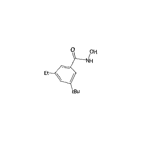 CCc1cc(C(=O)NO)cc(C(C)(C)C)c1